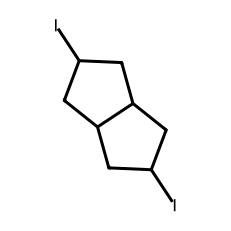 IC1CC2CC(I)CC2C1